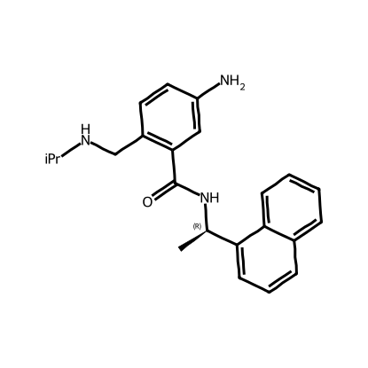 CC(C)NCc1ccc(N)cc1C(=O)N[C@H](C)c1cccc2ccccc12